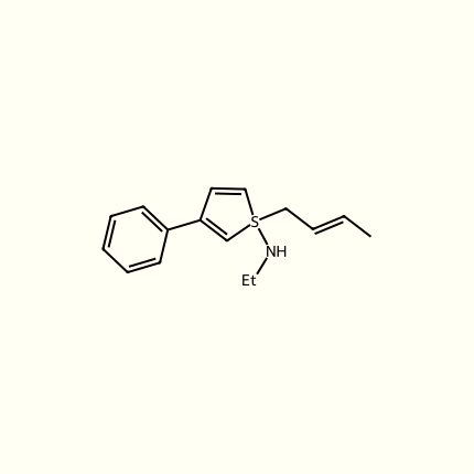 CC=CCS1(NCC)C=CC(c2ccccc2)=C1